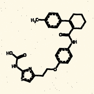 Cc1ccc(C2=C(C(=O)Nc3ccc(OCCc4csc(NC(=O)O)n4)cc3)CCCC2)cc1